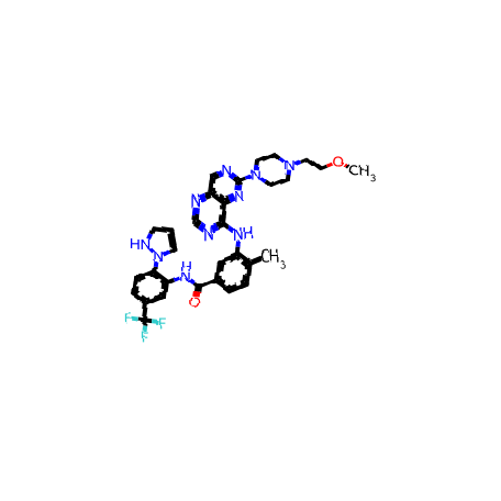 COCCN1CCN(c2ncc3ncnc(Nc4cc(C(=O)Nc5cc(C(F)(F)F)ccc5N5C=CCN5)ccc4C)c3n2)CC1